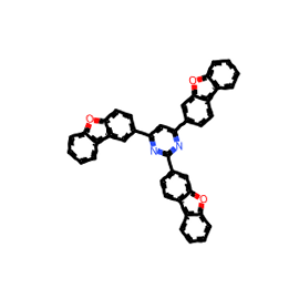 c1ccc2c(c1)oc1cc(-c3cc(-c4ccc5oc6ccccc6c5c4)nc(-c4ccc5c(c4)oc4ccccc45)n3)ccc12